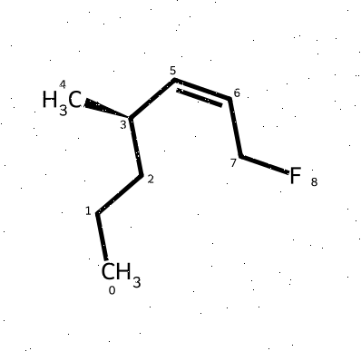 CCC[C@@H](C)/C=C\CF